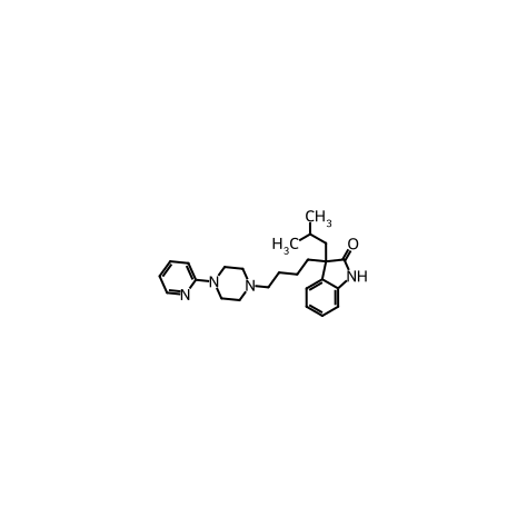 CC(C)CC1(CCCCN2CCN(c3ccccn3)CC2)C(=O)Nc2ccccc21